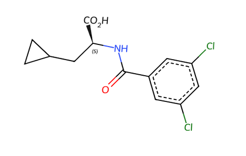 O=C(N[C@@H](CC1CC1)C(=O)O)c1cc(Cl)cc(Cl)c1